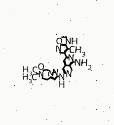 Cc1c(-c2cc3cc(Nc4cc5n(n4)CC(=O)N(C(C)C)CC5)ncc3c(N)n2)cnc2c1NCCO2